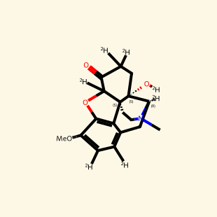 [2H]O[C@@]12CC([2H])([2H])C(=O)C3([2H])Oc4c(OC)c([2H])c([2H])c5c4[C@@]31CCN(C)[C@]2([2H])C5